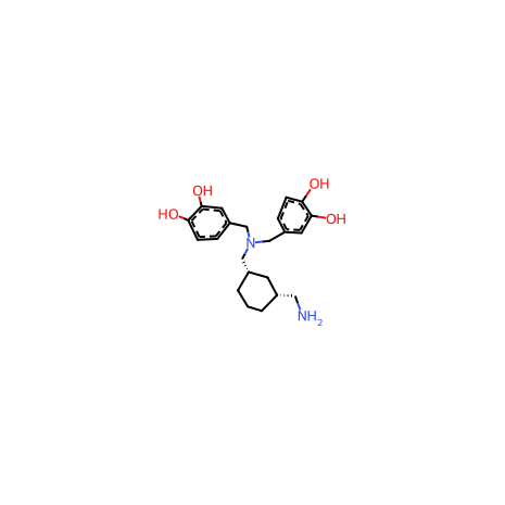 NC[C@@H]1CCC[C@H](CN(Cc2ccc(O)c(O)c2)Cc2ccc(O)c(O)c2)C1